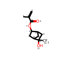 C=C(C)C(=O)OC1CC2CC1CC2(O)C(F)(F)F